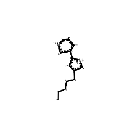 CCCCCc1c[nH]c(-c2cccnc2)c1